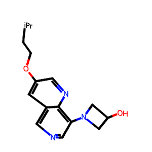 CC(C)CCOc1cnc2c(N3CC(O)C3)cncc2c1